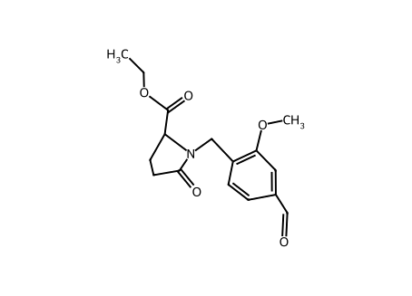 CCOC(=O)C1CCC(=O)N1Cc1ccc(C=O)cc1OC